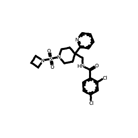 O=C(NCC1(c2ccccn2)CCN(S(=O)(=O)N2CCC2)CC1)c1ccc(Cl)cc1Cl